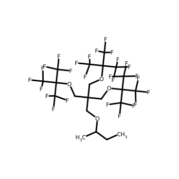 CCC(C)OCC(COC(C(F)(F)F)(C(F)(F)F)C(F)(F)F)(COC(C(F)(F)F)(C(F)(F)F)C(F)(F)F)COC(C(F)(F)F)(C(F)(F)F)C(F)(F)F